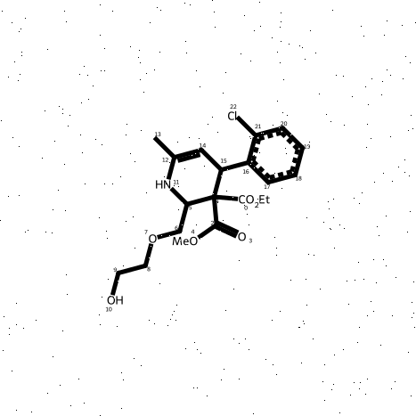 CCOC(=O)C1(C(=O)OC)C(COCCO)NC(C)=CC1c1ccccc1Cl